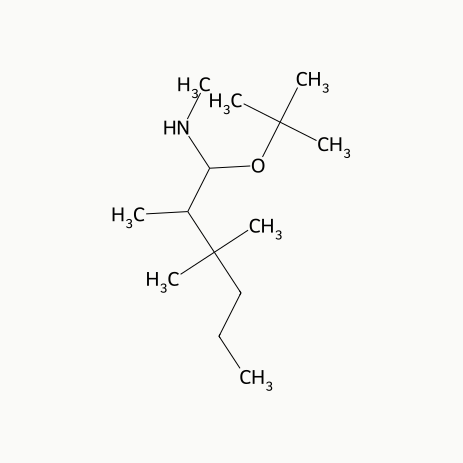 CCCC(C)(C)C(C)C(NC)OC(C)(C)C